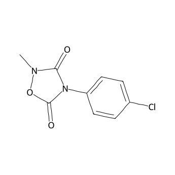 Cn1oc(=O)n(-c2ccc(Cl)cc2)c1=O